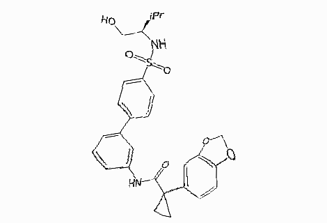 CC(C)[C@H](CO)NS(=O)(=O)c1ccc(-c2cccc(NC(=O)C3(c4ccc5c(c4)OCO5)CC3)c2)cc1